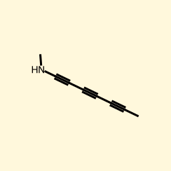 CC#CC#CC#CNC